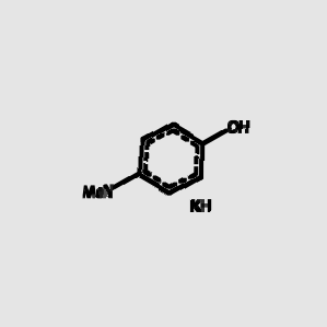 CNc1ccc(O)cc1.[KH]